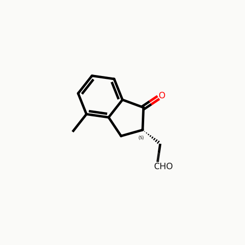 Cc1cccc2c1C[C@@H](CC=O)C2=O